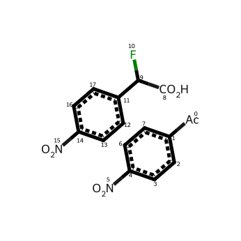 CC(=O)c1ccc([N+](=O)[O-])cc1.O=C(O)C(F)c1ccc([N+](=O)[O-])cc1